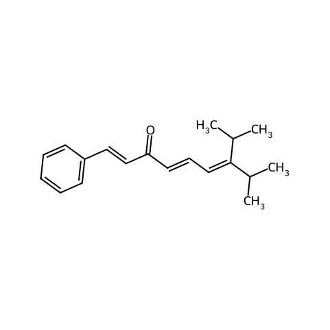 CC(C)C(=CC=CC(=O)C=Cc1ccccc1)C(C)C